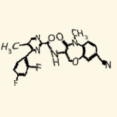 Cc1cnc(C(=O)NC2COc3cc(C#N)ccc3N(C)C2=O)nc1-c1ccc(F)cc1F